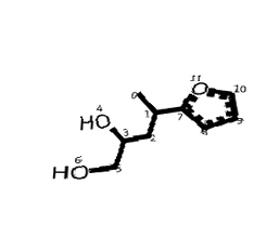 CC(CC(O)CO)c1ccco1